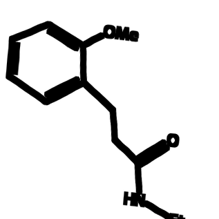 CCNC(=O)CCc1ccccc1OC